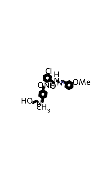 COc1cccc(/C=N/NC(=O)c2cc(Cl)ccc2NC(=O)c2ccc(CN(C)CCO)cc2)c1